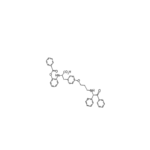 O=C(Oc1ccccc1NC(Cc1ccc(OCCCNC(C(=O)c2ccccc2)c2ccccc2)cc1)C(=O)O)c1ccccc1